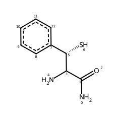 NC(=O)C(N)[C@@H](S)c1ccccc1